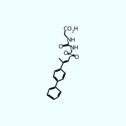 C/C(=C\S(=O)(=O)NC(=O)NCC(=O)O)c1ccc(-c2ccccc2)cc1